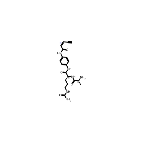 C#C/C=C\C(=O)Nc1ccc(NC(=O)[C@H](CCCNC(N)=O)NC(=O)[C@H](C)N)cc1